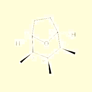 C[C@H]1[C@@H](C)[C@H]2CC[C@H](O2)[C@H]1C